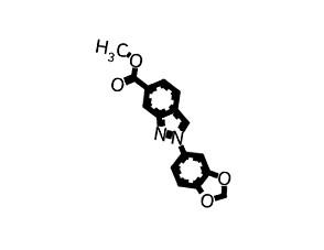 COC(=O)c1ccc2cn(-c3ccc4c(c3)OCO4)nc2c1